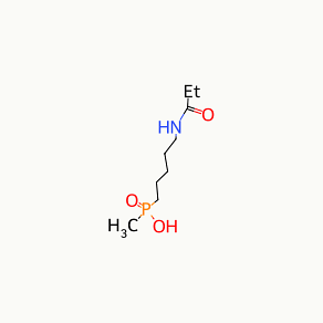 CCC(=O)NCCCCCP(C)(=O)O